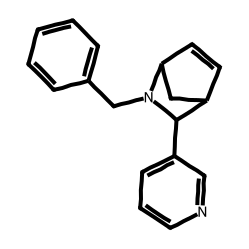 C1=CC2CC1C(c1cccnc1)N2Cc1ccccc1